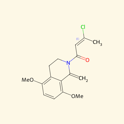 C=C1c2c(OC)ccc(OC)c2CCN1C(=O)/C=C(\C)Cl